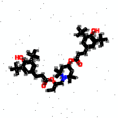 CCC(CN1C(C)(C)CC(OC(=O)CCc2cc(C(C)(C)C)c(O)c(C(C)(C)C)c2)CC1(C)C)OC(=O)CCc1cc(C(C)(C)C)c(O)c(C(C)(C)C)c1